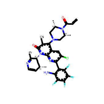 C=CC(=O)N1[C@H](C)CN(c2c(C#N)c(=O)n([C@H]3C(C(C)C)=NC=C[C@H]3C)c3nc(-c4c(N)c(F)c(F)c(F)c4F)c(Cl)cc23)C[C@@H]1C